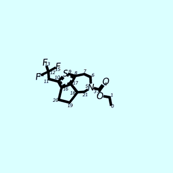 CCOC(=O)N1CCc2sc(CC(F)(F)F)c3c2C(CC3)C1